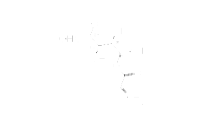 C=CC(=O)O[C@@H](C)[C@H](O)[C@@H](O)[C@@H](O)C=O